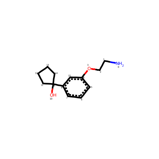 NCCOc1cccc(C2(O)CCCC2)c1